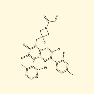 C=CC(=O)N1CC(F)(Cn2c(=O)c(=O)n(-c3c(C)ccnc3C(C)C)c3nc(-c4ccc(C)cc4F)c(Cl)cc32)C1